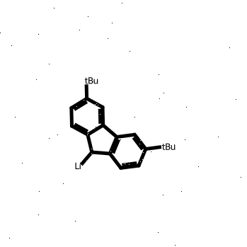 [Li][CH]1c2ccc(C(C)(C)C)cc2-c2cc(C(C)(C)C)ccc21